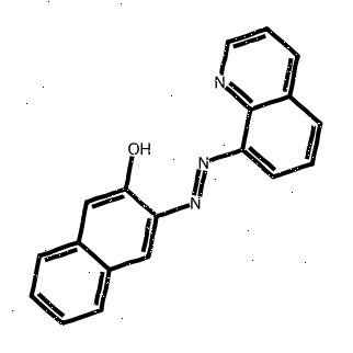 Oc1cc2ccccc2cc1/N=N/c1cccc2cccnc12